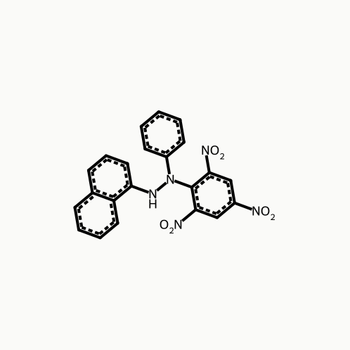 O=[N+]([O-])c1cc([N+](=O)[O-])c(N(Nc2cccc3ccccc23)c2ccccc2)c([N+](=O)[O-])c1